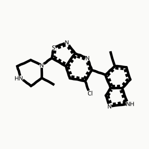 Cc1ccc2[nH]ncc2c1-c1nc2nsc(N3CCNCC3C)c2cc1Cl